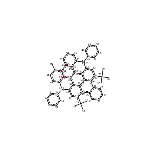 Cc1ccc(N(c2ccccc2)c2cc(C(C)(C)C)c3c4ccccc4c4c(C(C)(C)C)cc(N(c5ccccc5)c5ccccc5)c5c6ccccc6c2c3c54)cc1